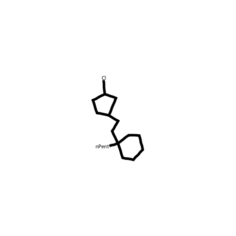 CCCCCC1(CCC2CCC(Cl)C2)CCCCC1